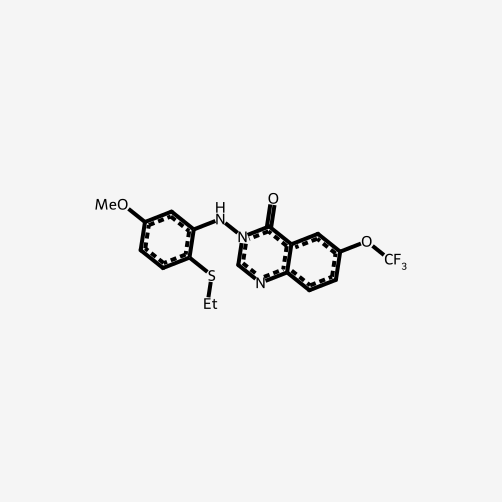 CCSc1ccc(OC)cc1Nn1cnc2ccc(OC(F)(F)F)cc2c1=O